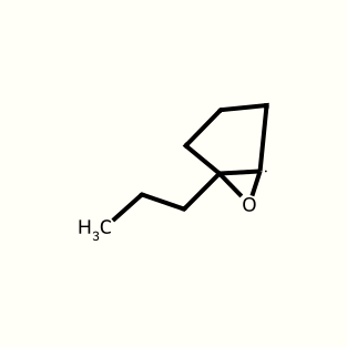 CCCC12CCC[C]1O2